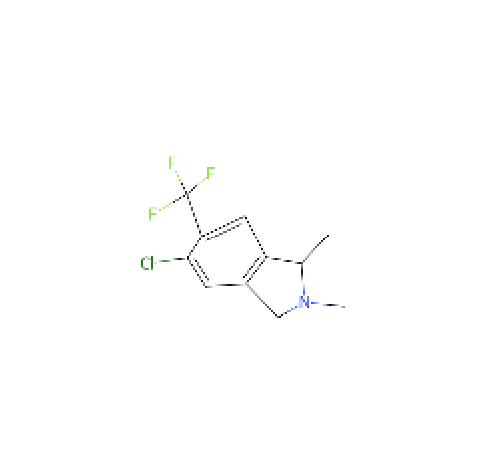 CC1c2cc(C(F)(F)F)c(Cl)cc2CN1C